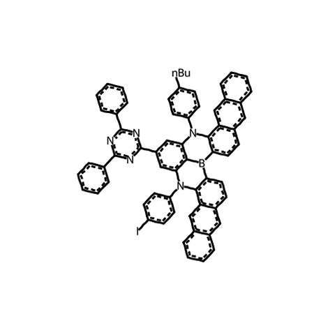 CCCCc1ccc(N2c3cc(-c4nc(-c5ccccc5)nc(-c5ccccc5)n4)cc4c3B(c3ccc5cc6ccccc6cc5c3N4c3ccc(I)cc3)c3ccc4cc5ccccc5cc4c32)cc1